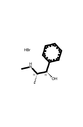 Br.CN[C@@H](C)[C@@H](O)c1ccccc1